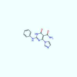 NC(=O)c1c(-n2ccnc2)nc(Nc2ccccc2)[nH]c1=O